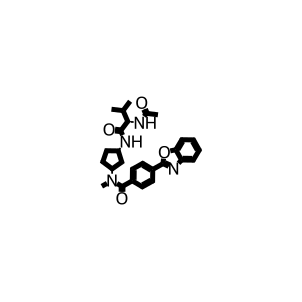 CC(=O)N[C@H](C(=O)N[C@H]1CC[C@@H](N(C)C(=O)c2ccc(-c3nc4ccccc4o3)cc2)C1)C(C)C